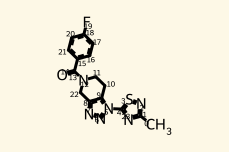 Cc1nsc(-n2nnc3c2CCN(C(=O)c2ccc(F)cc2)C3)n1